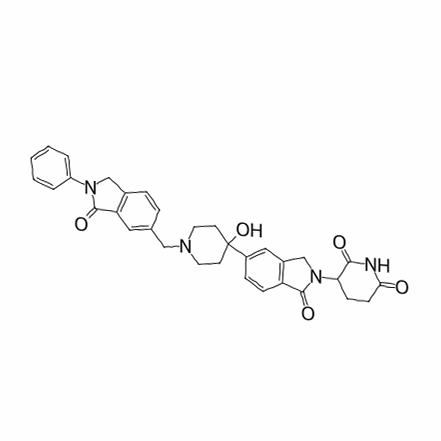 O=C1CCC(N2Cc3cc(C4(O)CCN(Cc5ccc6c(c5)C(=O)N(c5ccccc5)C6)CC4)ccc3C2=O)C(=O)N1